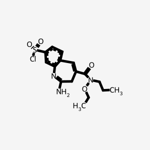 CCCN(OCC)C(=O)C1=Cc2ccc(S(=O)(=O)Cl)cc2N=C(N)C1